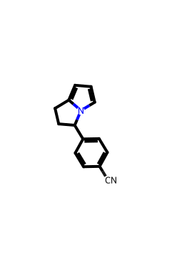 N#Cc1ccc(C2CCc3cccn32)cc1